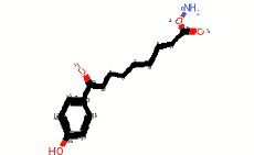 NOC(=O)CCCCCCCC(=O)c1ccc(O)cc1